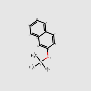 CC(C)(C)[Si](C)(C)Oc1ccc2cc[c]cc2c1